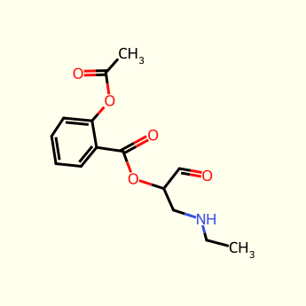 CCNCC(C=O)OC(=O)c1ccccc1OC(C)=O